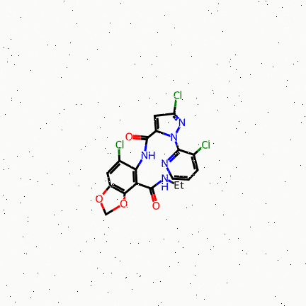 CCNC(=O)c1c(NC(=O)c2cc(Cl)nn2-c2ncccc2Cl)c(Cl)cc2c1OCO2